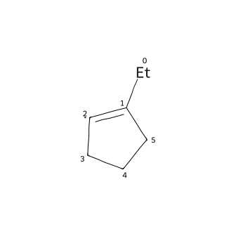 CCC1=[C]CCC1